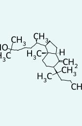 C=C1[C@@H](C(C)(C)CCC)CC[C@]2(C)[C@@H]([C@H](C)CCCC(C)(C)O)CC[C@@H]12